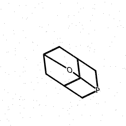 C1C2CC3CC1CP(C2)O3